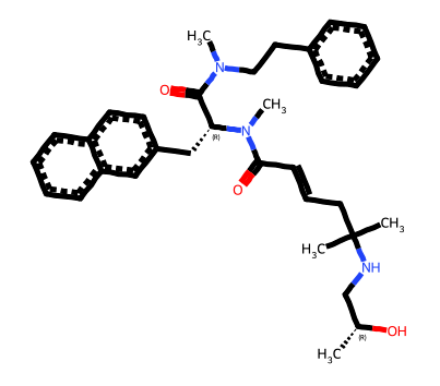 C[C@@H](O)CNC(C)(C)CC=CC(=O)N(C)[C@H](Cc1ccc2ccccc2c1)C(=O)N(C)CCc1ccccc1